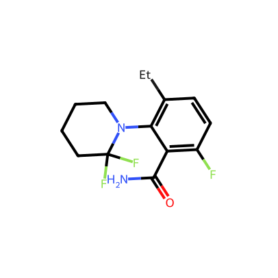 CCc1ccc(F)c(C(N)=O)c1N1CCCCC1(F)F